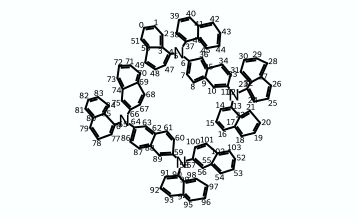 c1ccc2c(N(c3ccc4cc(N(c5cccc6ccccc56)c5cccc6ccccc56)ccc4c3)c3cccc4ccccc34)cccc2c1.c1ccc2cc(N(c3ccc4cc(N(c5ccc6ccccc6c5)c5cccc6ccccc56)ccc4c3)c3cccc4ccccc34)ccc2c1